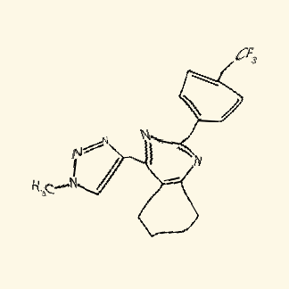 Cn1cc(-c2nc(-c3ccc(C(F)(F)F)cc3)nc3c2CCCC3)nn1